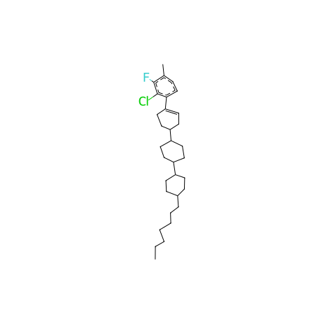 CCCCCCCC1CCC(C2CCC(C3CC=C(c4ccc(C)c(F)c4Cl)CC3)CC2)CC1